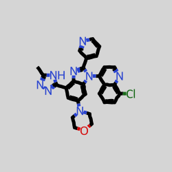 Cc1nnc(-c2cc(N3CCOCC3)cc3c2nc(-c2cccnc2)n3-c2ccnc3c(Cl)cccc23)[nH]1